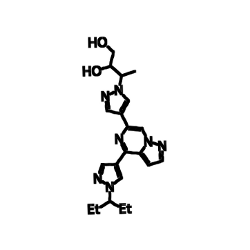 CCC(CC)n1cc(-c2nc(-c3cnn(C(C)C(O)CO)c3)cn3nccc23)cn1